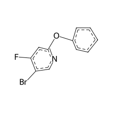 Fc1cc(Oc2ccccc2)ncc1Br